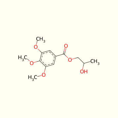 COc1cc(C(=O)OCC(C)O)cc(OC)c1OC